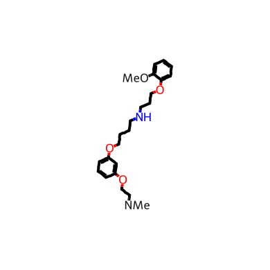 CNCCOc1cccc(OCCCCNCCCOc2ccccc2OC)c1